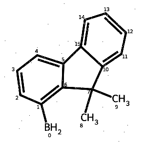 Bc1cccc2c1C(C)(C)c1ccccc1-2